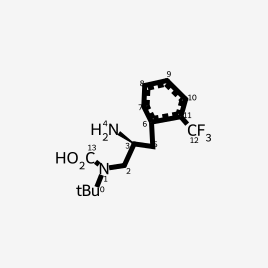 CC(C)(C)N(C[C@@H](N)Cc1ccccc1C(F)(F)F)C(=O)O